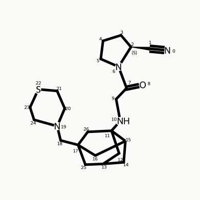 N#C[C@@H]1CCCN1C(=O)CNC12CC3CC1CC(CN1CCSCC1)(C3)C2